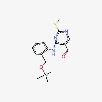 CSc1ncc(C=O)c(Nc2ccccc2CO[Si](C)(C)C)n1